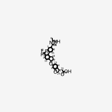 Cc1nc(-c2ccc(-c3c(C(F)(F)F)ccc4c3CC[C@H]4Oc3ccc4c(c3)OC[C@H]4CC(=O)O)cc2)n[nH]1